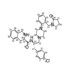 O=C(N[C@@H](Cc1ccc(Cl)cc1)CN1CCN(c2ccccc2CN2CCCC2=O)CC1)[C@H]1Cc2ccccc2CN1